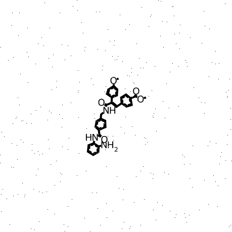 COC(=O)c1ccc(/C=C(/C(=O)NCc2ccc(C(=O)Nc3ccccc3N)cc2)c2ccc(OC)cc2)cc1